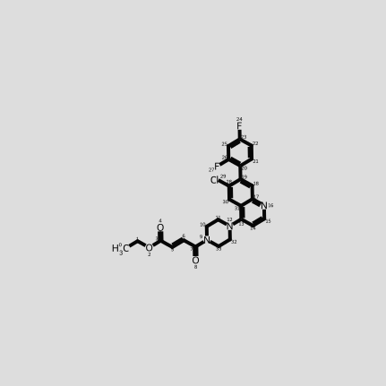 CCOC(=O)/C=C/C(=O)N1CCN(c2ccnc3cc(-c4ccc(F)cc4F)c(Cl)cc23)CC1